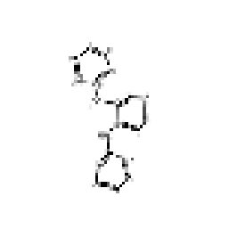 c1ccc(Nc2ccccc2Oc2ccccn2)nc1